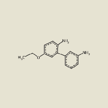 CCOc1ccc(N)c(-c2cccc(N)c2)c1